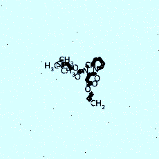 C=CCOC(=O)CC(C(=O)N1CCCCC1)N(C)C(=O)OCC[Si](C)(C)C